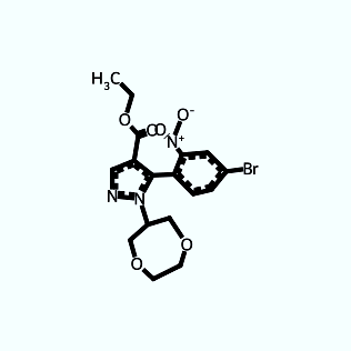 CCOC(=O)c1cnn(C2COCCOC2)c1-c1ccc(Br)cc1[N+](=O)[O-]